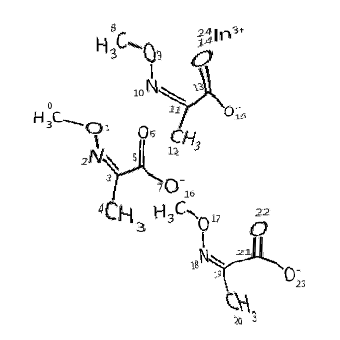 CON=C(C)C(=O)[O-].CON=C(C)C(=O)[O-].CON=C(C)C(=O)[O-].[In+3]